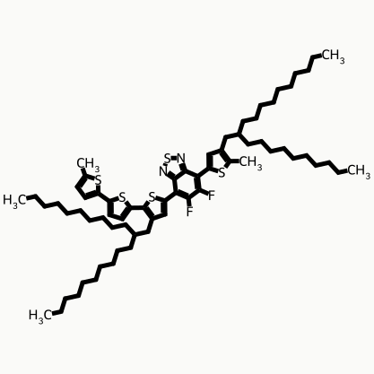 CCCCCCCCCCC(CCCCCCCCCC)Cc1cc(-c2c(F)c(F)c(-c3cc(CC(CCCCCCCCCC)CCCCCCCCCC)c(-c4ccc(-c5ccc(C)s5)s4)s3)c3nsnc23)sc1C